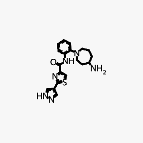 NC1CCCN(c2ccccc2NC(=O)c2csc(-c3cn[nH]c3)n2)CC1